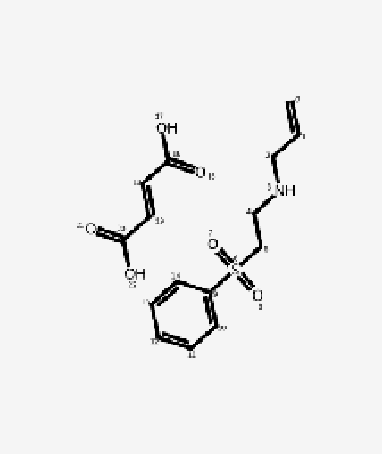 C=CCNCCS(=O)(=O)c1ccccc1.O=C(O)C=CC(=O)O